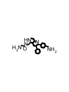 NCC(=O)NCc1nccc2nc(-c3ccc(CN)cc3)c(-c3ccccc3)cc12